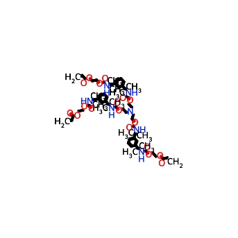 C=CC(=O)OCCOC(=O)NC(C)(C)c1cccc(C(C)(C)NC(=O)OCCN(CCOC(=O)NC(C)(C)c2cccc(C(C)(C)NC(=O)OCCOC(=O)C=C)c2)CCOC(=O)NC(C)(C)c2cccc(C(C)(C)NC(=O)OCCOC(=O)C=C)c2)c1